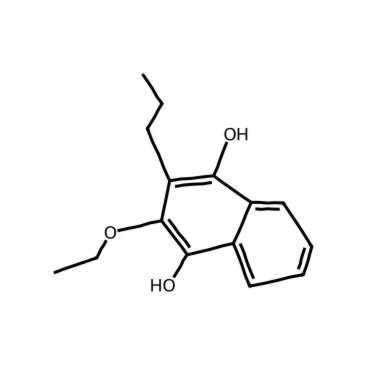 CCCc1c(OCC)c(O)c2ccccc2c1O